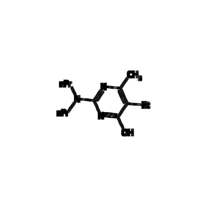 CCCN(CCC)c1nc(C)c(CC)c(O)n1